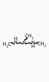 C=CCNCCCN(CC=C)CCCNCC=C